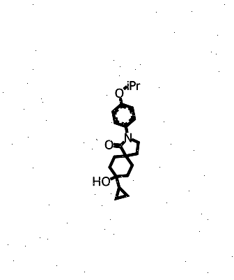 CC(C)Oc1ccc(N2CCC3(CCC(O)(C4CC4)CC3)C2=O)cc1